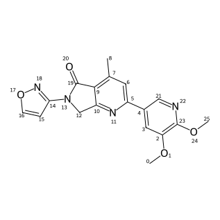 COc1cc(-c2cc(C)c3c(n2)CN(c2ccon2)C3=O)cnc1OC